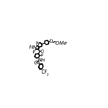 COCCOc1ccc(-c2cnc3[nH]cc(C(=O)c4c(F)ccc(N[S+]([O-])c5ccc(C(F)(F)F)cc5)c4F)c3c2)cc1